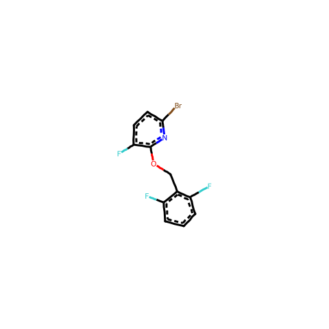 Fc1ccc(Br)nc1OCc1c(F)cccc1F